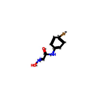 O=C(/C=N/O)Nc1ccc(Br)cc1